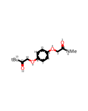 CNC(=O)COc1ccc(OCC(=O)C(C)(C)C)cc1